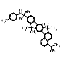 CCCCC(C)c1cccc2c3c(ccc12)C(C)(C)c1cc2c(cc1-3)C(C)(C)c1cc(C(CC)(CCC)Nc3ccc(C)cc3)ccc1-2